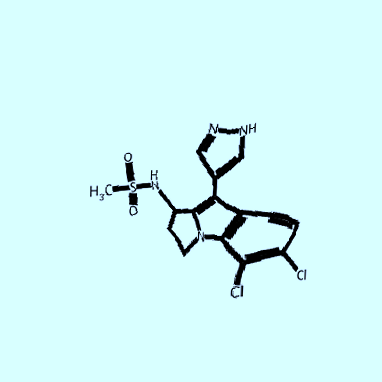 CS(=O)(=O)NC1CCn2c1c(-c1cn[nH]c1)c1ccc(Cl)c(Cl)c12